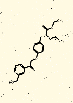 CCOC(=O)[C@@H](Cc1ccc(OCC(=O)c2cccc(CO)c2)cc1)OCC